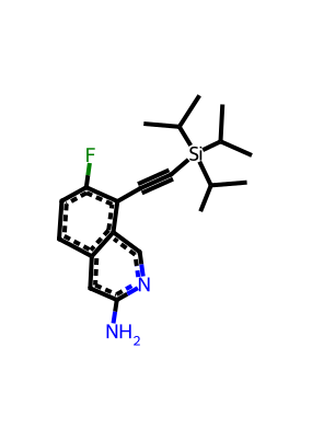 CC(C)[Si](C#Cc1c(F)ccc2cc(N)ncc12)(C(C)C)C(C)C